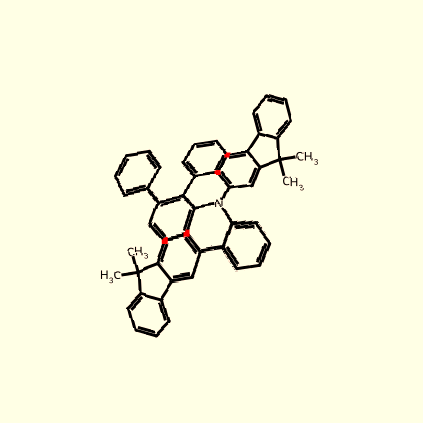 CC1(C)c2ccccc2-c2cc(-c3ccccc3N(c3ccc4c(c3)C(C)(C)c3ccccc3-4)c3cccc(-c4ccccc4)c3-c3ccccc3)ccc21